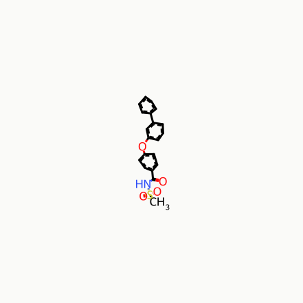 CS(=O)(=O)NC(=O)c1ccc(Oc2cccc(-c3ccccc3)c2)cc1